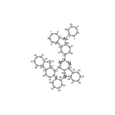 c1ccc(-n2c3ccccc3c3cc(-c4nc(-c5cccc6c5sc5ccccc56)c5c(n4)c4ccccc4n5-c4ccccc4)ccc32)cc1